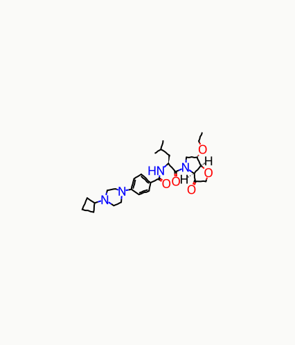 CCO[C@H]1CN(C(=O)[C@H](CC(C)C)NC(=O)c2ccc(N3CCN(C4CCC4)CC3)cc2)[C@@H]2C(=O)CO[C@H]12